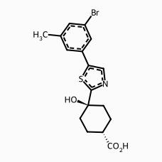 Cc1cc(Br)cc(-c2cnc([C@]3(O)CC[C@H](C(=O)O)CC3)s2)c1